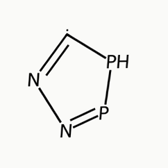 [c]1nnp[pH]1